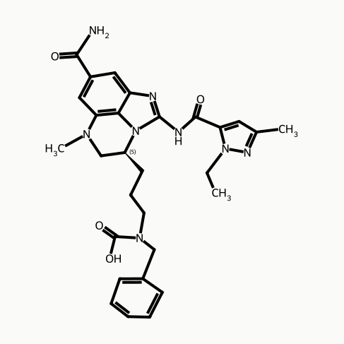 CCn1nc(C)cc1C(=O)Nc1nc2cc(C(N)=O)cc3c2n1[C@@H](CCCN(Cc1ccccc1)C(=O)O)CN3C